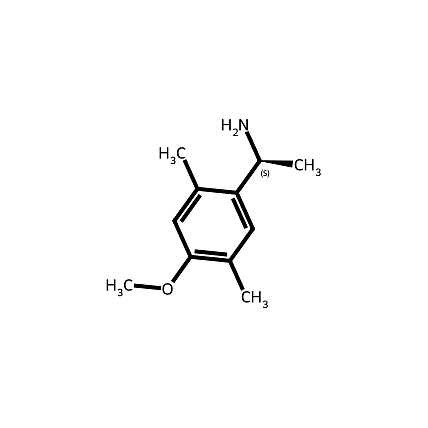 COc1cc(C)c([C@H](C)N)cc1C